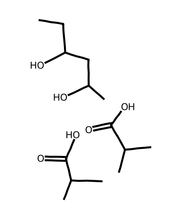 CC(C)C(=O)O.CC(C)C(=O)O.CCC(O)CC(C)O